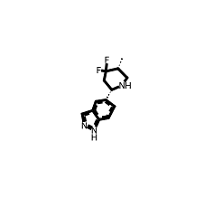 C[C@@H]1CN[C@H](c2ccc3[nH]ncc3c2)CC1(F)F